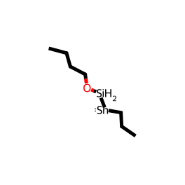 CCCCO[SiH2][Sn][CH2]CC